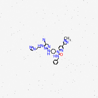 Cn1cc(-c2ccc(N(C(=O)NCc3ccccc3)[C@H]3CC[C@H](Nc4ncc(C#N)c(NCCCn5ccnc5)n4)CC3)nc2)cn1